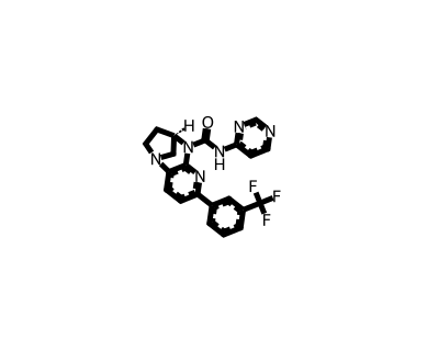 O=C(Nc1ccncn1)N1c2nc(-c3cccc(C(F)(F)F)c3)ccc2N2CC[C@@H]1C2